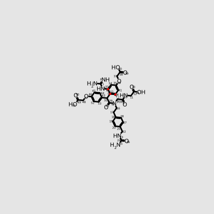 N=C(N)NCCC[C@H](C(=O)NCC(=O)O)N(CCc1ccc(CNC(N)=O)cc1)C(=O)C(c1ccc(OCC(=O)O)cc1)c1ccc(OCC(=O)O)cc1